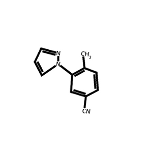 Cc1ccc(C#N)cc1-n1cccn1